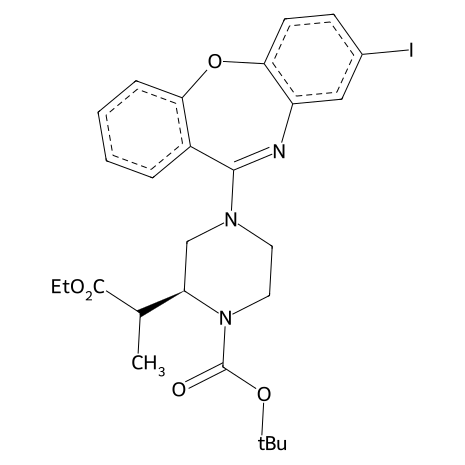 CCOC(=O)C(C)[C@H]1CN(C2=Nc3cc(I)ccc3Oc3ccccc32)CCN1C(=O)OC(C)(C)C